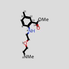 CNCCOCCNc1ccc(C)cc1C(=O)OC